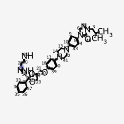 CC(C)Cn1ncn(-c2ccc(N3CCN(c4ccc(OC[C@@H]5CO[C@@](CN/N=C\C=N)(c6ccccc6)O5)cc4)CC3)cc2)c1=O